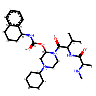 CNC(C)C(=O)NC(C(=O)N1CCN(C2CCCCC2)CC1OC(=O)NC1CCCc2ccccc21)C(C)C